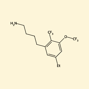 CCc1cc(CCCCN)c(C(F)(F)F)c(OC(F)(F)F)c1